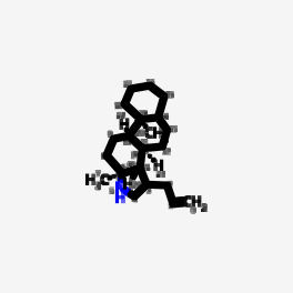 C=CCC1CN[C@@]2(C)CC[C@@H]3[C@@H](CCC4CCCC[C@@]43C)[C@H]12